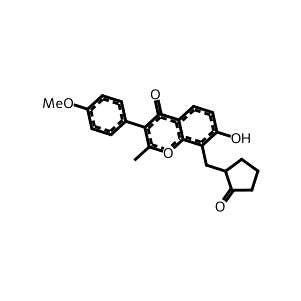 COc1ccc(-c2c(C)oc3c(CC4CCCC4=O)c(O)ccc3c2=O)cc1